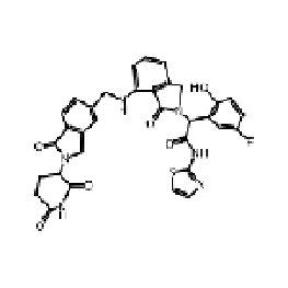 O=C1CCC(N2Cc3cc(CNc4cccc5c4C(=O)N(C(C(=O)Nc4nccs4)c4cc(F)ccc4O)C5)ccc3C2=O)C(=O)N1